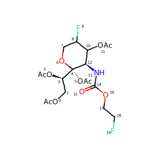 CC(=O)OC[C@@H](OC(C)=O)[C@@]1(OC(C)=O)OCC(F)C(OC(C)=O)[C@H]1NC(=O)OCCF